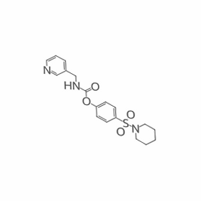 O=C(NCc1cccnc1)Oc1ccc(S(=O)(=O)N2CCCCC2)cc1